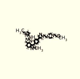 CCn1ccc(Nc2ncc3c(n2)-c2c(nn(C)c2-c2ccc(-c4cnn(CCN5CCN(CCOC)CC5)c4)cc2)CC3)n1